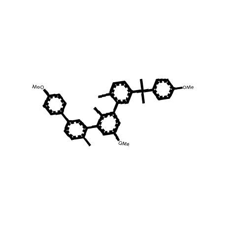 COc1ccc(-c2ccc(C)c(-c3cc(OC)cc(-c4cc(C(C)(C)c5ccc(OC)cc5)ccc4C)c3C)c2)cc1